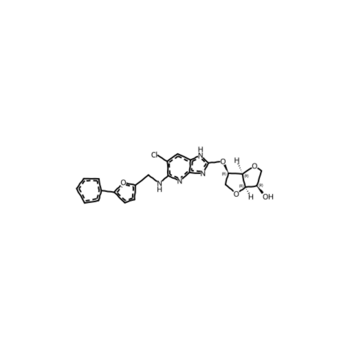 O[C@@H]1CO[C@H]2[C@@H]1OC[C@H]2Oc1nc2nc(NCc3ccc(-c4ccccc4)o3)c(Cl)cc2[nH]1